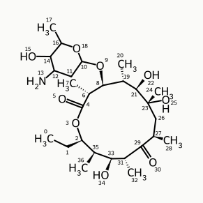 CC[C@H]1OC(=O)[C@H](C)[C@@H](OC2CC(N)C(O)C(C)O2)[C@H](C)[C@@H](O)[C@](C)(O)C[C@@H](C)C(=O)[C@H](C)[C@@H](O)[C@H]1C